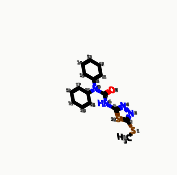 CSc1nnc(NC(=O)N(C2CCCCC2)C2CCCCC2)s1